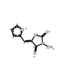 CN1C(=O)O/C(=C\c2ccco2)C1=O